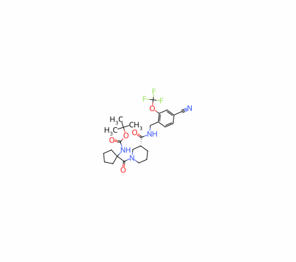 CC(C)(C)OC(=O)NC1(C(=O)N2CCC[C@@H](C(=O)NCc3ccc(C#N)cc3OC(F)(F)F)C2)CCCC1